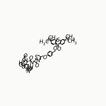 CN(C)c1ccc2c(c1)Sc1cc(N(C)C)ccc1N2C(=O)OCc1ccc(OCC2=CN3C(=O)[C@@H](NC(=O)[C@@H]4N5C(=O)C[C@H]5S(=O)(=O)[C@]4(C)Cn4ccnn4)C3SC2)cc1